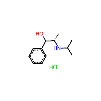 CC(C)N[C@@H](C)C(O)c1ccccc1.Cl